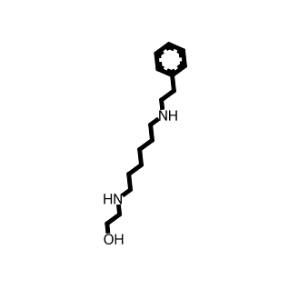 OCCNCCCCCCNCCc1ccccc1